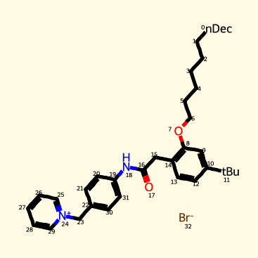 CCCCCCCCCCCCCCCCOc1cc(C(C)(C)C)ccc1CC(=O)Nc1ccc(C[n+]2ccccc2)cc1.[Br-]